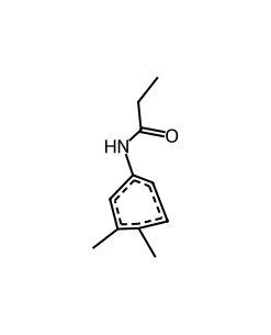 CCC(=O)Nc1ccc(C)c(C)c1